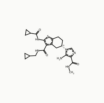 CNC(=O)c1ncn([C@H]2CCc3sc(NC(=O)C4CC4)c(C(=O)NCC4CC4)c3C2)c1N